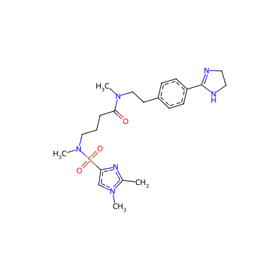 Cc1nc(S(=O)(=O)N(C)CCCC(=O)N(C)CCc2ccc(C3=NCCN3)cc2)cn1C